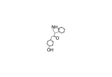 NCC(C(=O)Cc1ccc(O)cc1)c1ccccc1